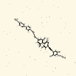 CCCCCc1cc(CC)c(C#Cc2cc(F)c(-c3c(F)cc(CCc4ccc(-c5ccc(CCCC)cc5)cc4)cc3F)c(F)c2)cc1F